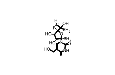 BC(B)(O)[C@@]1(F)O[C@@](B)(N2C=C(CO)C(=C)NC2=O)[C@H](O)[C@@H]1O